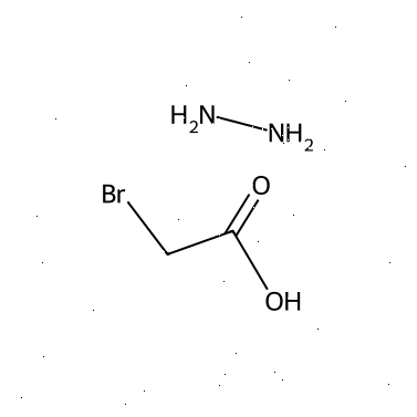 NN.O=C(O)CBr